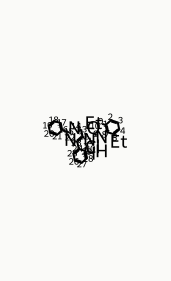 CCc1cccc(CC)c1NC(=O)Nc1cnc(-c2ccccc2)nc1-c1ccccc1Cl